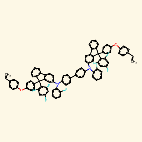 C=Cc1ccc(Oc2ccc(C3(c4c(F)cc(F)cc4F)c4ccccc4-c4ccc(N(c5ccc(-c6ccc(N(c7ccc8c(c7)C(c7ccc(Oc9ccc(C=C)cc9)cc7)(c7c(F)cc(F)cc7F)c7ccccc7-8)c7ccccc7F)cc6)cc5)c5ccccc5F)cc43)cc2)cc1